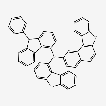 c1ccc(-n2c3ccccc3c3c(N(c4ccc5ccc6oc7ccccc7c6c5c4)c4cccc5sc6ccccc6c45)cccc32)cc1